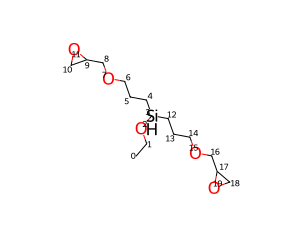 CCO[SiH](CCCOCC1CO1)CCCOCC1CO1